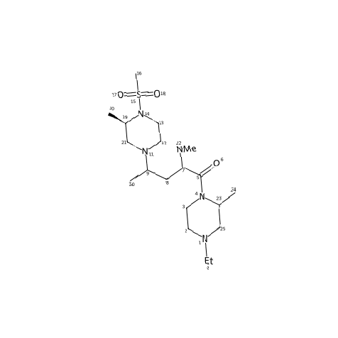 CCN1CCN(C(=O)C(CC(C)N2CCN(S(C)(=O)=O)[C@H](C)C2)NC)C(C)C1